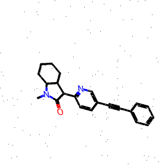 CN1C(=O)C(c2ccc(C#Cc3ccccc3)cn2)C2CCCCC21